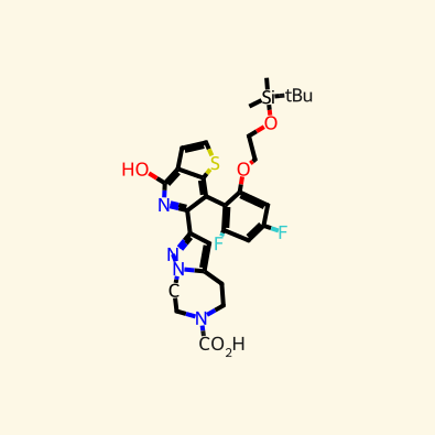 CC(C)(C)[Si](C)(C)OCCOc1cc(F)cc(F)c1-c1c(-c2cc3n(n2)CCN(C(=O)O)CC3)nc(O)c2ccsc12